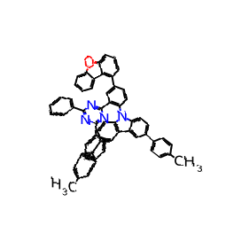 Cc1ccc(-c2ccc3c(c2)c2cc(-c4ccc(C)cc4)ccc2n3-c2ccc(-c3cccc4oc5ccccc5c34)cc2-c2nc(-c3ccccc3)nc(-c3ccccc3)n2)cc1